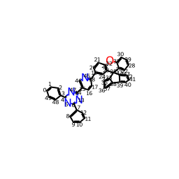 c1ccc(-c2nc(-c3ccccc3)nc(-c3ccc(-c4ccc5c(c4)C4(c6ccccc6O5)c5ccccc5-c5ccccc54)nc3)n2)cc1